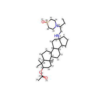 CCC(CNC12CCCC1C1CCC3C(CCC4C(C)(C)C(OC(C)=O)CCC34C)C1CC2)N1CC[S+]([O-])CC1